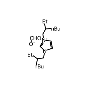 CCCCC(CC)Cn1cc[n+](CC(CC)CCCC)c1.O=C[O-]